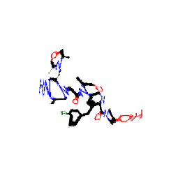 CC1COc2nc(C(=O)N3CC(O)C3)c(Cc3ccc(F)cc3)cc2N1C(=O)CN1C[C@@H](C)NC[C@@H]1CN1[C@H](C)COC[C@H]1C